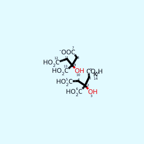 O=C(O)CC(O)(CC(=O)O)C(=O)O.O=C([O-])CC(O)(CC(=O)O)C(=O)O.[K+]